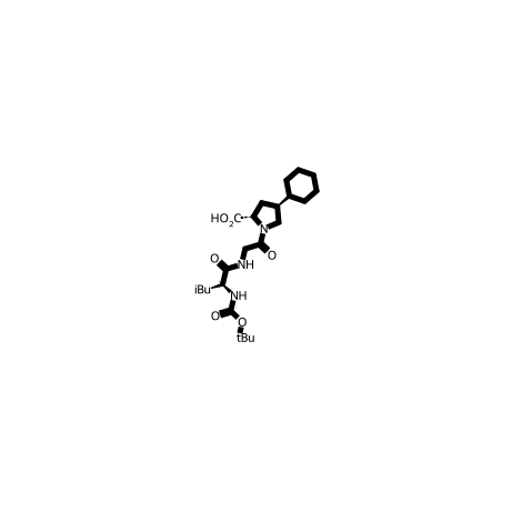 CC[C@H](C)[C@H](NC(=O)OC(C)(C)C)C(=O)NCC(=O)N1C[C@H](C2CCCCC2)C[C@H]1C(=O)O